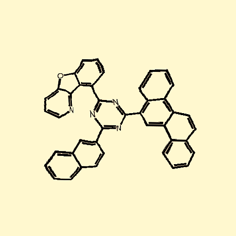 c1ccc2cc(-c3nc(-c4cc5c6ccccc6ccc5c5ccccc45)nc(-c4cccc5oc6cccnc6c45)n3)ccc2c1